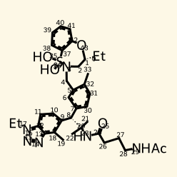 CC[C@@H]1CN(Cc2cc([C@@H](c3ccc4c(nnn4CC)c3C)C(C)(C)NC(=O)CCCNC(C)=O)ccc2C)S(O)(O)c2ccccc2O1